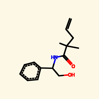 C=CCC(C)(C)C(=O)NC(CO)c1ccccc1